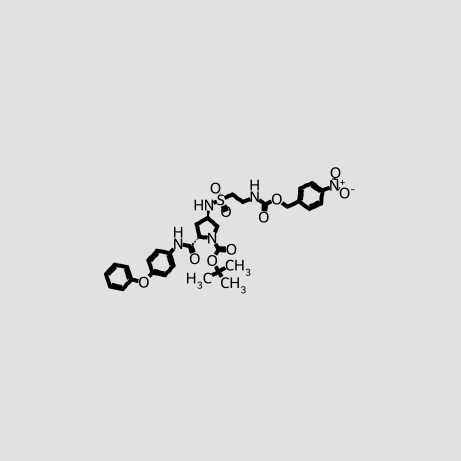 CC(C)(C)OC(=O)N1C[C@H](NS(=O)(=O)CCNC(=O)OCc2ccc([N+](=O)[O-])cc2)C[C@H]1C(=O)Nc1ccc(Oc2ccccc2)cc1